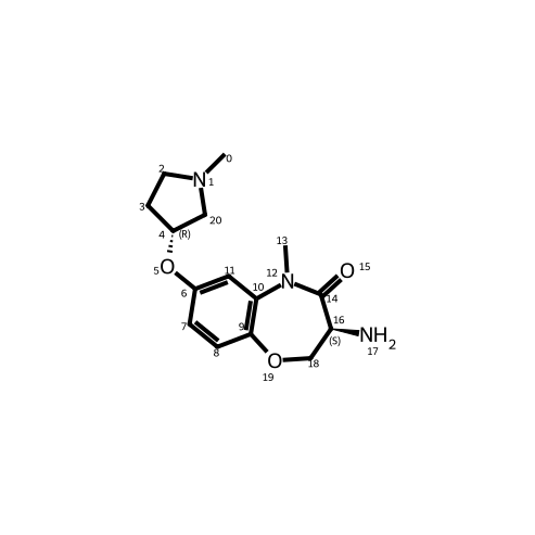 CN1CC[C@@H](Oc2ccc3c(c2)N(C)C(=O)[C@@H](N)CO3)C1